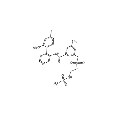 COc1cc(F)ccc1-c1ccncc1NC(=O)c1cc(CS(=O)(=O)CCNS(C)(=O)=O)cc(C(F)(F)F)c1